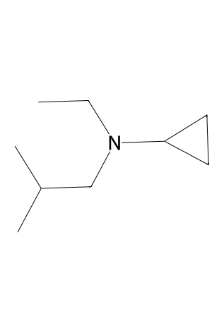 CCN(CC(C)C)C1CC1